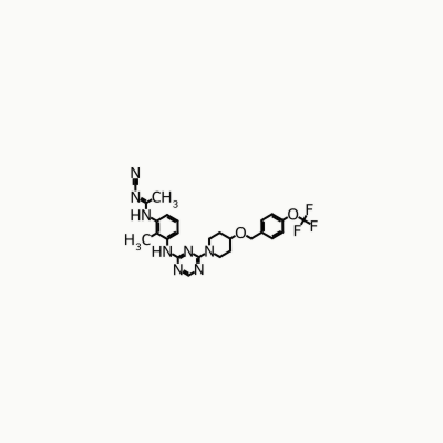 C/C(=N\C#N)Nc1cccc(Nc2ncnc(N3CCC(OCc4ccc(OC(F)(F)F)cc4)CC3)n2)c1C